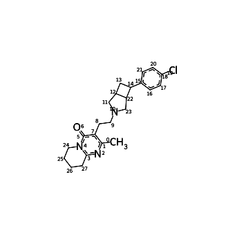 Cc1nc2n(c(=O)c1CCN1CC3CC(c4ccc(Cl)cc4)C3C1)CCCC2